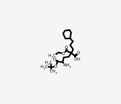 CCOC(=O)C(CCCC1CCCCC1)(CCC(N)C(=O)OC(C)(C)C)C(=O)O